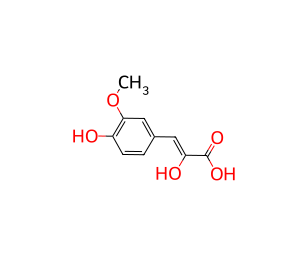 COc1cc(C=C(O)C(=O)O)ccc1O